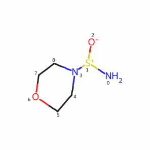 N[S+]([O-])N1CCOCC1